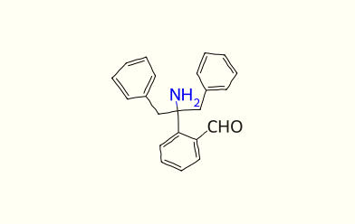 NC(Cc1ccccc1)(Cc1ccccc1)c1ccccc1C=O